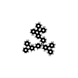 c1ccc(-c2ccc(-c3ccc(N(c4cccc(-c5ccc6c(c5)c(-c5ccccc5)c(-c5ccccc5)c5ccccc56)c4)c4ccc(-c5ccccc5)c(-c5ccccc5)c4)cc3)cc2-c2ccccc2)cc1